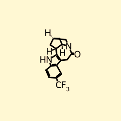 O=C1Cc2c([nH]c3ccc(C(F)(F)F)cc23)[C@@H]2C[C@H]3C[C@@H]2N1C3